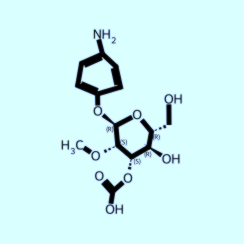 CO[C@@H]1[C@@H](Oc2ccc(N)cc2)O[C@H](CO)[C@@H](O)[C@@H]1OC(=O)O